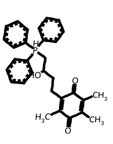 CC1=C(C)C(=O)C(CCC(O)C[PH](c2ccccc2)(c2ccccc2)c2ccccc2)=C(C)C1=O